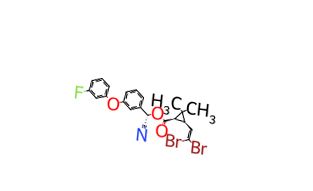 CC1(C)[C@H](C(=O)O[C@H](C#N)c2cccc(Oc3cccc(F)c3)c2)[C@@H]1C=C(Br)Br